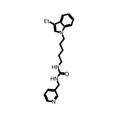 CCc1cn(CCCCCNC(=O)NCc2cccnc2)c2ccccc12